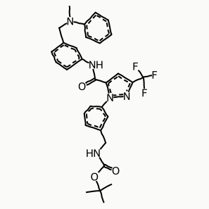 CN(Cc1cccc(NC(=O)c2cc(C(F)(F)F)nn2-c2cccc(CNC(=O)OC(C)(C)C)c2)c1)c1ccccc1